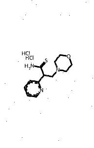 Cl.Cl.NC(=S)C(CN1CCOCC1)c1ccccn1